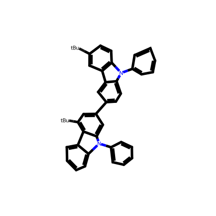 CC(C)(C)c1ccc2c(c1)c1cc(-c3cc(C(C)(C)C)c4c5ccccc5n(-c5ccccc5)c4c3)ccc1n2-c1ccccc1